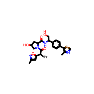 Cc1cc(C(C(=O)N2CC(O)CC2C(=O)NC(CO)c2ccc(-c3scnc3C)cc2)C(C)C)on1